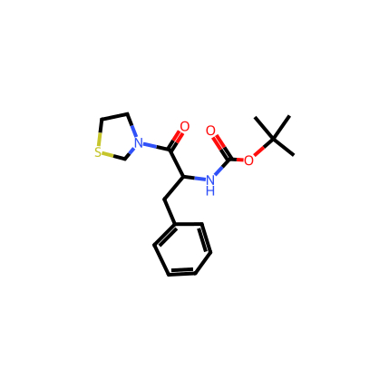 CC(C)(C)OC(=O)NC(Cc1ccccc1)C(=O)N1CCSC1